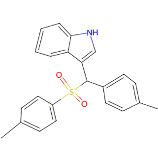 Cc1ccc(C(c2c[nH]c3ccccc23)S(=O)(=O)c2ccc(C)cc2)cc1